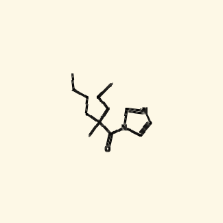 CCCCC(C)(CCC)C(=O)n1ccnc1